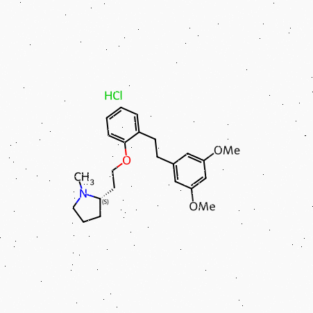 COc1cc(CCc2ccccc2OCC[C@@H]2CCCN2C)cc(OC)c1.Cl